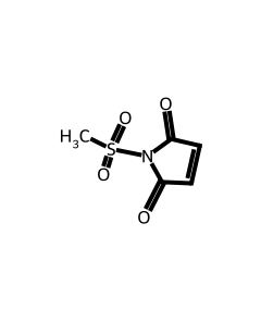 CS(=O)(=O)N1C(=O)C=CC1=O